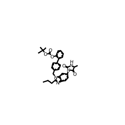 CCCc1nc2ccc(N3C(=O)NC(C)C3=O)cc2n1Cc1ccc(-c2ccccc2OC(=O)OC(C)(C)C)cc1